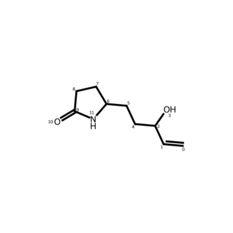 C=CC(O)CCC1CCC(=O)N1